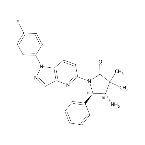 CC1(C)C(=O)N(c2ccc3c(cnn3-c3ccc(F)cc3)n2)[C@H](c2ccccc2)[C@H]1N